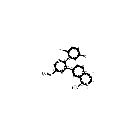 COc1cnc(-c2cc(Cl)ccc2F)c(-c2ccc3ncnc(N)c3c2)c1